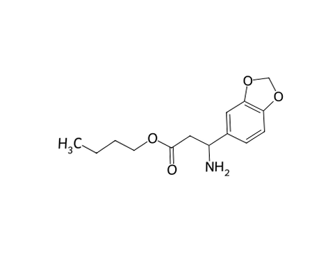 CCCCOC(=O)CC(N)c1ccc2c(c1)OCO2